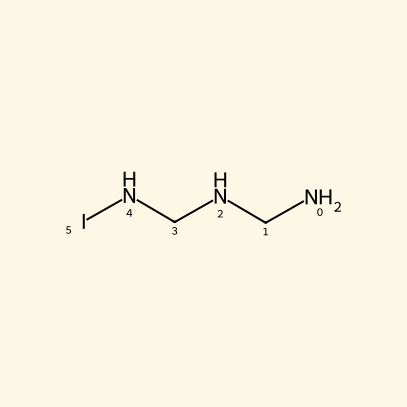 NCNCNI